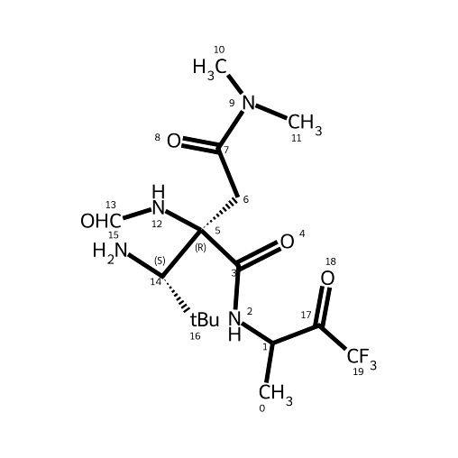 CC(NC(=O)[C@](CC(=O)N(C)C)(NC=O)[C@@H](N)C(C)(C)C)C(=O)C(F)(F)F